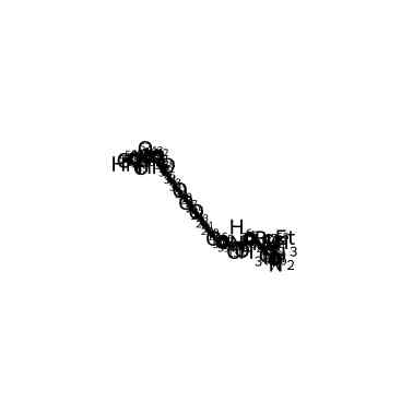 C=C(CNc1cccc(C(=O)N[C@@H](C)c2ccc(OCCCCCCOCCOCCOCCCCCC(=O)Nc3cccc4c3CN(C3CCC(=O)NC3=O)C4=O)cc2)c1)N(C)/C(=C\C(CC)C(C)CC)c1ccncn1